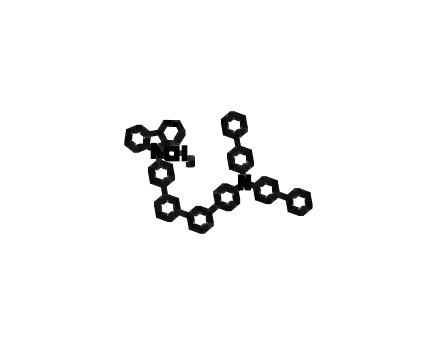 CC12C=CC=CC1c1ccccc1N2c1ccc(-c2cccc(-c3cccc(-c4ccc(N(c5ccc(-c6ccccc6)cc5)c5ccc(-c6ccccc6)cc5)cc4)c3)c2)cc1